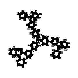 c1ccc(-n2c(-c3cccc(-c4ccc(N(c5ccc(-c6ccc7c(c6)c6ccccc6n7-c6ccccc6)cc5)c5ccc(-c6ccc7c8ccccc8n(-c8ccccc8)c7c6)cc5)cc4)c3)nc3ccccc32)cc1